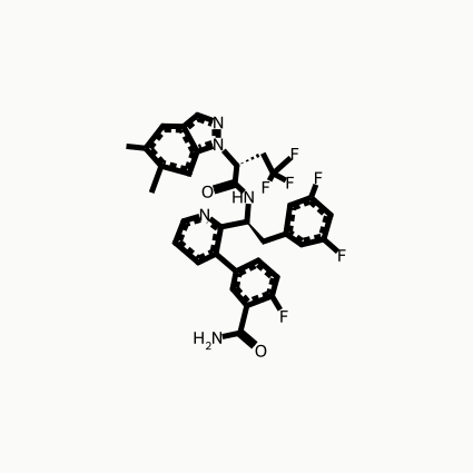 Cc1cc2cnn([C@H](CC(F)(F)F)C(=O)N[C@@H](Cc3cc(F)cc(F)c3)c3ncccc3-c3ccc(F)c(C(N)=O)c3)c2cc1C